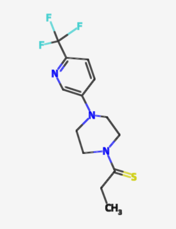 CCC(=S)N1CCN(c2ccc(C(F)(F)F)nc2)CC1